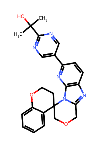 CC(C)(O)c1ncc(-c2ccc3nc4n(c3n2)C2(CCOc3ccccc32)COC4)cn1